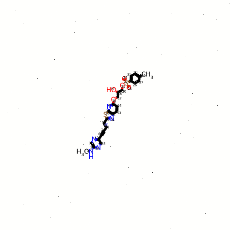 CNc1cnc(C#C/C=C/c2nc3ccc(OCC(O)COS(=O)(=O)c4ccc(C)cc4)nc3s2)cn1